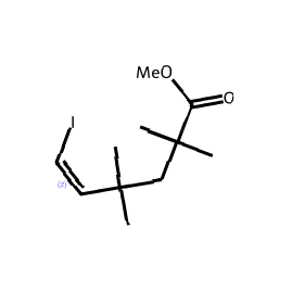 COC(=O)C(C)(C)CC(C)(C)/C=C\I